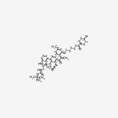 COc1c(-c2cccc3[nH]c(CNC(=O)OC(C)(C)C)nc23)ccc(C(=O)N(C)c2ccc(C)cc2OCCCCCC(=O)N2CCC(=O)CC2)c1N=C=O